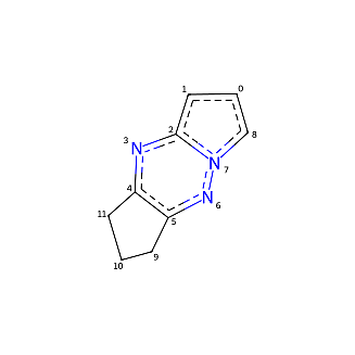 c1cc2nc3c(nn2c1)CCC3